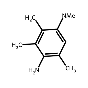 CNc1cc(C)c(N)c(C)c1C